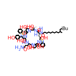 CCC(C)CC(C)CCCCCCCCC(=O)N[C@H]1C[C@@H](O)[C@H](Sc2ccccc2)NC(=O)[C@@H]2[C@@H](O)CCN2C(=O)[C@H]([C@H](O)CC(N)=O)NC(=O)[C@H]([C@H](O)C(Sc2ccccc2)c2ccc(O)cc2)NC(=O)[C@@H]2C[C@@H](O)CN2C(=O)[C@H]([C@@H](C)O)NC1=O